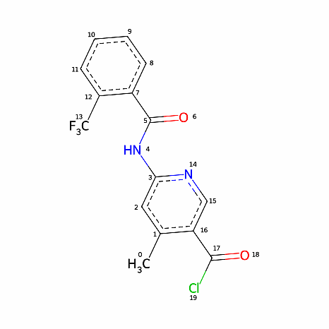 Cc1cc(NC(=O)c2ccccc2C(F)(F)F)ncc1C(=O)Cl